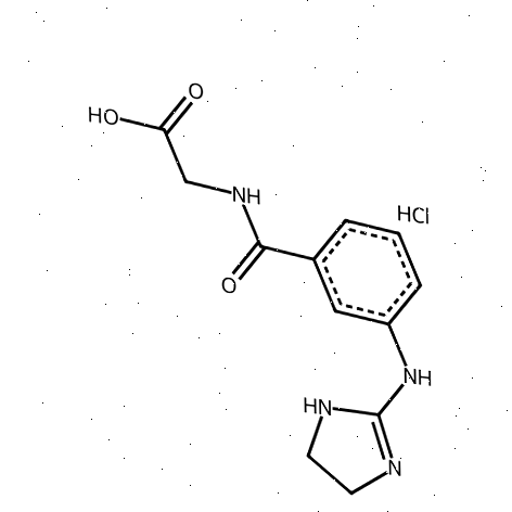 Cl.O=C(O)CNC(=O)c1cccc(NC2=NCCN2)c1